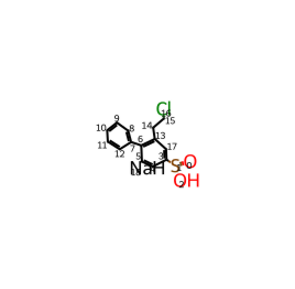 O=S(O)c1ccc(-c2ccccc2)c(CCCl)c1.[NaH]